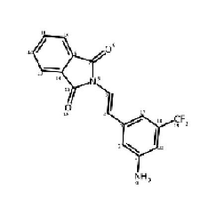 Nc1cc(/C=C/N2C(=O)c3ccccc3C2=O)cc(C(F)(F)F)c1